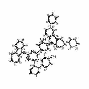 N#Cc1ccc(-c2ccccc2-c2nc(-c3ccc(-n4c5ccc(-c6ccccc6)cc5c5cc(-c6ccccc6)ccc54)c(C#N)c3)nc(-n3c4ccccc4c4ccccc43)n2)cc1